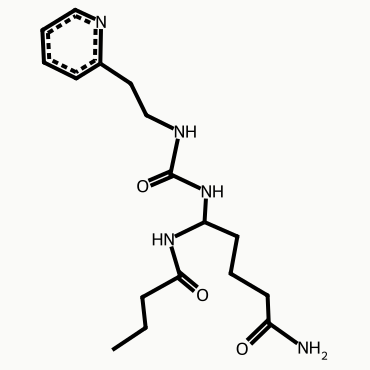 CCCC(=O)NC(CCCC(N)=O)NC(=O)NCCc1ccccn1